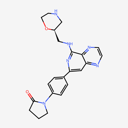 O=C1CCCN1c1ccc(-c2cc3nccnc3c(NC[C@@H]3CNCCO3)n2)cc1